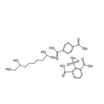 O=C(O)c1ccc(C(=O)O)cc1.O=C(O)c1cccc(C(=O)O)c1S(=O)(=O)O.OCC(O)CCCCCC(O)O